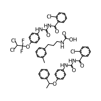 CC(Oc1ccc(NC(=O)NC(=O)c2ccccc2Cl)cc1)c1ccccc1.Cc1cccc(CCCNC(=O)O)c1.O=C(NC(=O)c1ccccc1Cl)Nc1ccc(OC(F)(F)C(Cl)Cl)cc1